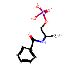 O=C(N[C@@H](COP(=O)(O)O)C(=O)O)c1ccccc1